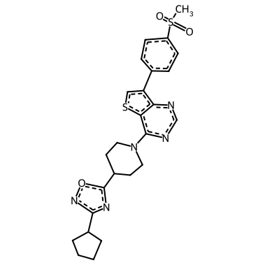 CS(=O)(=O)c1ccc(-c2csc3c(N4CCC(c5nc(C6CCCC6)no5)CC4)ncnc23)cc1